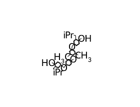 Cc1cc(Oc2ccc(O)c(CC(C)C)c2)cc(C)c1Oc1ccc(Oc2ccc(O)c(CC(C)C)c2)cc1